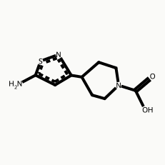 Nc1cc(C2CCN(C(=O)O)CC2)ns1